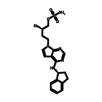 CC[C@H](CCn1ccc2c(N[C@H]3CCc4ccccc43)ncnc21)COS(N)(=O)=O